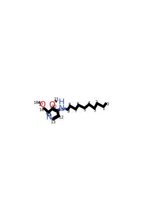 CCCCCCCCCCNc1ccnc(COC)c1OC